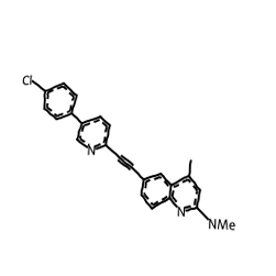 CNc1cc(C)c2cc(C#Cc3ccc(-c4ccc(Cl)cc4)cn3)ccc2n1